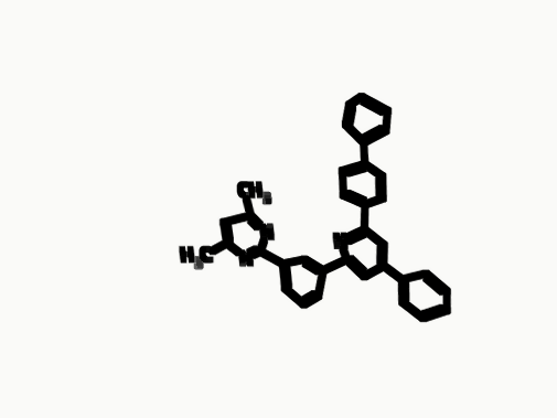 Cc1cc(C)nc(-c2cccc(-c3cc(-c4ccccc4)cc(-c4ccc(-c5ccccc5)cc4)n3)c2)n1